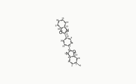 Cc1ccc2nc(-c3ccc(-c4nc5ccccc5o4)cc3)oc2c1